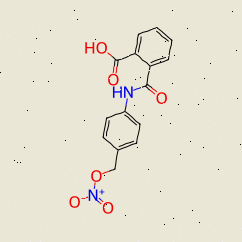 O=C(O)c1ccccc1C(=O)Nc1ccc(CO[N+](=O)[O-])cc1